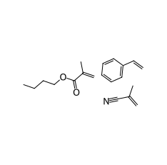 C=C(C)C#N.C=C(C)C(=O)OCCCC.C=Cc1ccccc1